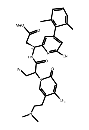 COC(=O)C[C@H](NC(=O)C(CC(C)C)n1cc(CCN(C)C)c(C(F)(F)F)cc1=O)c1cc(-c2c(C)cccc2C)cc(C#N)n1